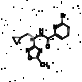 Cc1nc([C@H](CC2CC2)NC(=O)c2cccc(Br)n2)no1